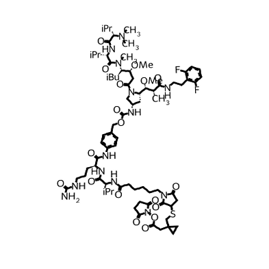 CC[C@H](C)[C@@H]([C@@H](CC(=O)N1C[C@@H](NC(=O)OCc2ccc(NC(=O)[C@H](CCCNC(N)=O)NC(=O)[C@@H](NC(=O)CCCCCN3C(=O)CC(SCC4(CC(=O)ON5C(=O)CCC5=O)CC4)C3=O)C(C)C)cc2)C[C@H]1[C@H](OC)[C@@H](C)C(=O)NCCc1c(F)cccc1F)OC)N(C)C(=O)[C@@H](NC(=O)[C@H](C(C)C)N(C)C)C(C)C